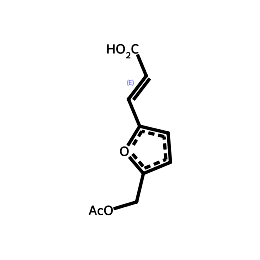 CC(=O)OCc1ccc(/C=C/C(=O)O)o1